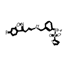 O=S(=O)(Nc1cccc(CNCCCc2noc3cc(F)ccc23)c1)c1cccs1